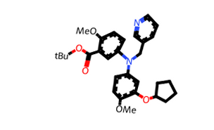 COc1ccc(N(Cc2cccnc2)c2ccc(OC)c(C(=O)OC(C)(C)C)c2)cc1OC1CCCC1